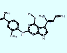 CNC(=O)c1ccc(Nc2nc(OC(C)C)c3c(/C(=C/C=N)NC)c[nH]c3n2)c(OC)c1